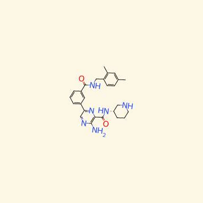 Cc1ccc(CNC(=O)c2cccc(-c3cnc(N)c(C(=O)N[C@H]4CCCNC4)n3)c2)c(C)c1